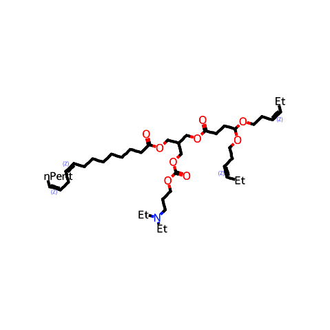 CC/C=C\CCOC(CCC(=O)OCC(COC(=O)CCCCCCC/C=C\C/C=C\CCCCC)COC(=O)OCCCN(CC)CC)OCC/C=C\CC